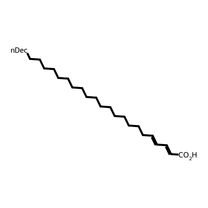 CCCCCCCCCCCCCCCCCCCCCCCCCCC/C=C/C=C/C(=O)O